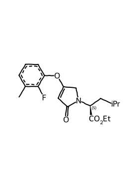 CCOC(=O)[C@H](CC(C)C)N1CC(Oc2cccc(C)c2F)=CC1=O